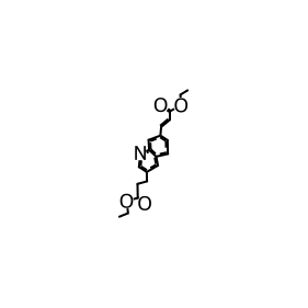 CCOC(=O)/C=C/c1ccc2cc(CCC(=O)OCC)cnc2c1